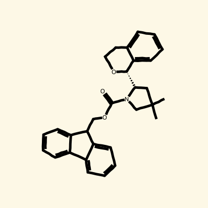 CC1(C)CC([C@@H]2OCCc3ccccc32)N(C(=O)OCC2c3ccccc3-c3ccccc32)C1